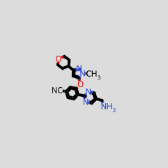 Cn1nc(C2CCOCC2)cc1Oc1cc(C#N)ccc1-c1ncc(CN)cn1